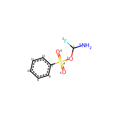 NC(F)OS(=O)(=O)c1ccccc1